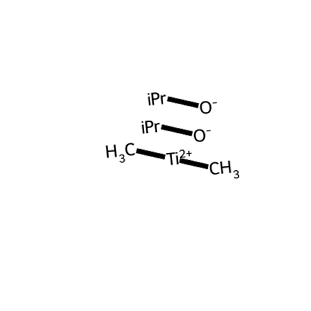 CC(C)[O-].CC(C)[O-].[CH3][Ti+2][CH3]